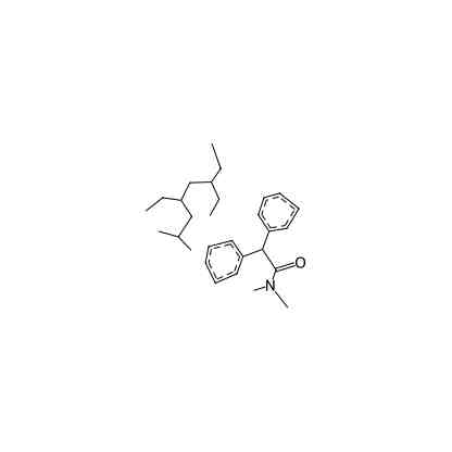 CCC(CC)CC(CC)CC(C)C.CN(C)C(=O)C(c1ccccc1)c1ccccc1